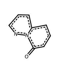 O=c1cccc2cccnn12